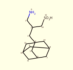 NCC(CC12CC3CC(CC(C3)C1)C2)CS(=O)(=O)O